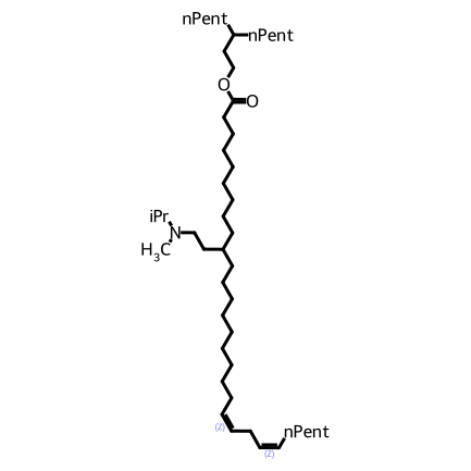 CCCCC/C=C\C/C=C\CCCCCCCCCC(CCCCCCCCC(=O)OCCC(CCCCC)CCCCC)CCN(C)C(C)C